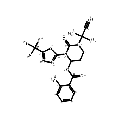 C#CC(C)(C)N1CCC(OC(=O)c2ccccc2C)N(c2nnc(C(F)(F)F)s2)C1=O